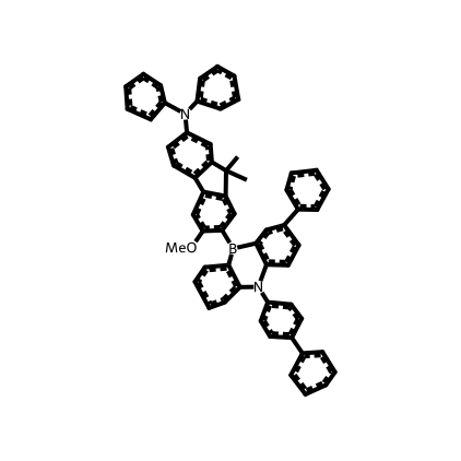 COc1cc2c(cc1B1c3ccccc3N(c3ccc(-c4ccccc4)cc3)c3ccc(-c4ccccc4)cc31)C(C)(C)c1cc(N(c3ccccc3)c3ccccc3)ccc1-2